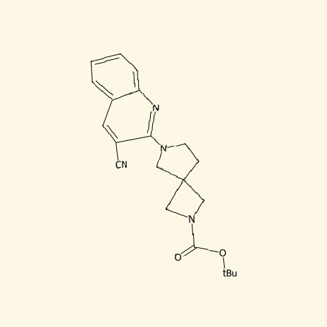 CC(C)(C)OC(=O)N1CC2(CCN(c3nc4ccccc4cc3C#N)C2)C1